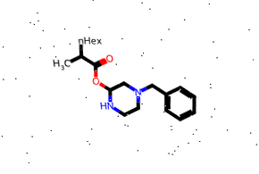 CCCCCCC(C)C(=O)OC1CN(Cc2ccccc2)CCN1